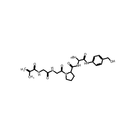 C=C(C)C(=O)NCC(=O)NCC(=O)N1CCCC1C(=O)NC(CCCC)C(=O)Nc1ccc(CO)cc1